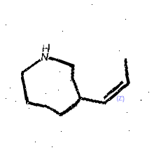 C/C=C\C1CCCNC1